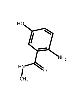 CNC(=O)c1cc(O)ccc1N